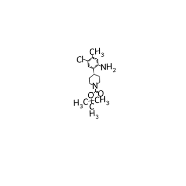 Cc1cc(N)c(C2CCN(C(=O)OC(C)(C)C)CC2)cc1Cl